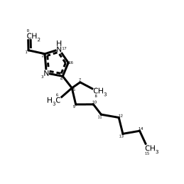 C=Cc1nc(C(C)(CC)CCCCCCC)c[nH]1